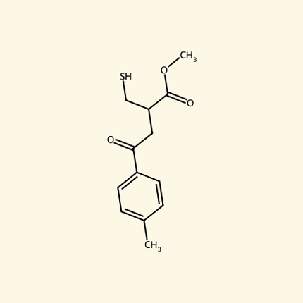 COC(=O)C(CS)CC(=O)c1ccc(C)cc1